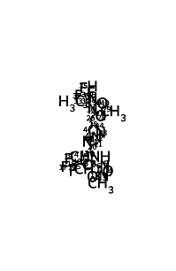 COc1nonc1C(=O)N[C@@H](CCC(C)(C)C(F)(F)F)c1cn2ncc(C[C@H](OC)N3C[C@@](C)(C(F)(F)F)NC3=O)cc2n1